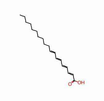 CCCCCCCCCCC=CC=CC=CC=CC(=O)O